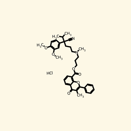 COc1ccc(C(C#N)(CCCN(C)CCCOC(=O)c2cccc3c(=O)c(C)c(-c4ccccc4)oc23)C(C)C)cc1OC.Cl